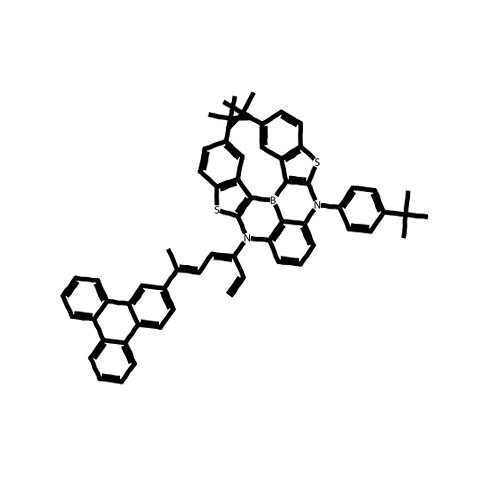 C=C/C(=C\C=C(/C)c1ccc2c3ccccc3c3ccccc3c2c1)N1c2cccc3c2B(c2c1sc1ccc(C(C)(C)C)cc21)c1c(sc2ccc(C(C)(C)C)cc12)N3c1ccc(C(C)(C)C)cc1